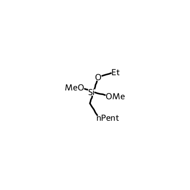 [CH2]CCCCC[Si](OC)(OC)OCC